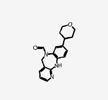 O=CN1Cc2cccnc2Nc2ccc(C3CCOCC3)cc21